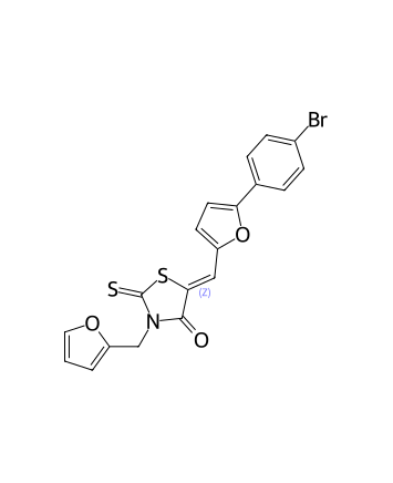 O=C1/C(=C/c2ccc(-c3ccc(Br)cc3)o2)SC(=S)N1Cc1ccco1